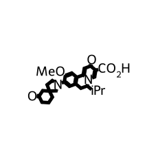 COc1cc2c(cc1N1CCC3(CCCC(=O)C3)C1)CC(C(C)C)n1cc(C(=O)O)c(=O)cc1-2